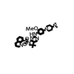 COc1cc(N2CCC(N(C)C)CC2)ccc1Nc1ncc2c(n1)N(S(=O)(=O)c1cccc3cccnc13)CC2(C)C